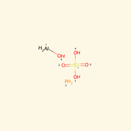 O=S(=O)(O)O.P.[OH][AlH2]